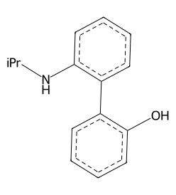 CC(C)Nc1ccccc1-c1ccccc1O